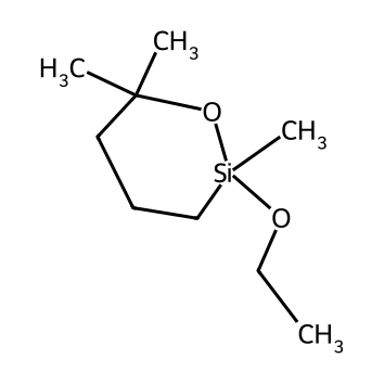 CCO[Si]1(C)CCCC(C)(C)O1